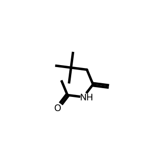 C=C(CC(C)(C)C)NC(C)=O